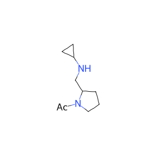 CC(=O)N1CCCC1CNC1CC1